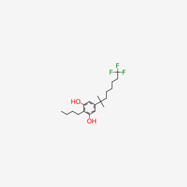 CCCCc1c(O)cc(C(C)(C)CCCCCC(F)(F)F)cc1O